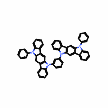 C1=C2c3ccccc3N(c3ccccc3)C2Cc2c1n(-c1cccc(-n3c4ccccc4c4cc5c(cc43)c3ccccc3n5-c3ccccc3)c1)c1ccccc21